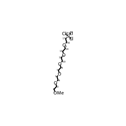 COCCOCCOCCOCCOCCOCC[Si](Cl)(Cl)Cl